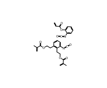 C=C(C)C(=O)OCCc1cccc(N=C=O)c1CCOC(=O)C(=C)C.C=CC(=O)Oc1ccccc1N=C=O